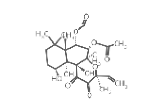 C=C[C@]1(C)O[C@]2(C)[C@@H](OC(C)=O)[C@@H](OC=O)[C@H]3C(C)(C)CC[C@H](O)[C@]3(C)[C@@]2(O)C(=O)C1=O